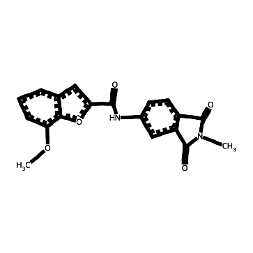 COc1cccc2cc(C(=O)Nc3ccc4c(c3)C(=O)N(C)C4=O)oc12